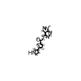 Cn1ncc2c(SCC(=O)c3ccc(C4CCNC4)s3)ncnc21